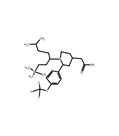 CC(C)CCC(CC[Si](C)(C)C)N1CCC(CC(=O)O)CC1c1ccc(OC(F)(F)F)cc1